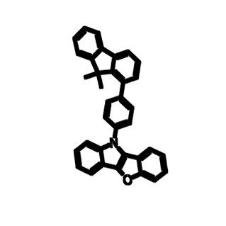 CC1(C)c2ccccc2-c2cccc(-c3ccc(-n4c5ccccc5c5oc6ccccc6c54)cc3)c21